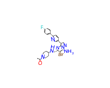 CC(=O)N1CCC(NCc2nc3c(-c4ccc(-c5ccc(F)cc5)nc4)cnn3c(N)c2Br)CC1